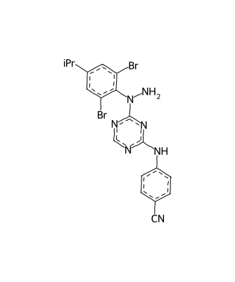 CC(C)c1cc(Br)c(N(N)c2ncnc(Nc3ccc(C#N)cc3)n2)c(Br)c1